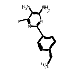 NCc1ccc(-c2nc(N)c(N)c(I)n2)cc1